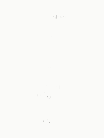 CCCCCCCc1ccc(-c2ccc(C(=O)Oc3ccc(C(=O)Oc4ccc(C#N)cc4)c(Cl)c3)cc2)cc1